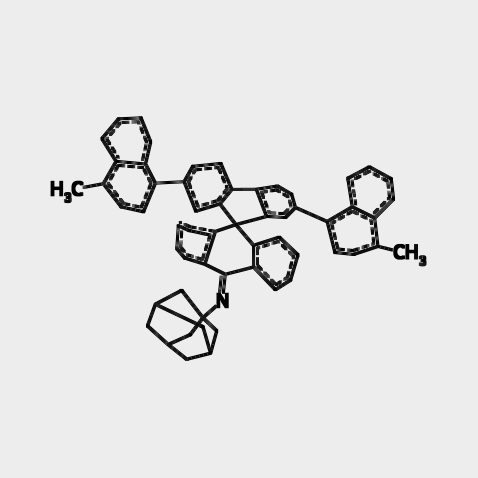 Cc1ccc(-c2ccc3c(c2)C2(c4ccccc4C(=NC45CC6CC(CC(C6)C4)C5)c4ccccc42)c2cc(-c4ccc(C)c5ccccc45)ccc2-3)c2ccccc12